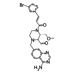 COC[C@@H]1C(C=O)N(Cc2ccc3c(N)ncnc3c2)CCN1C(=O)C=Cc1cc(Br)cs1